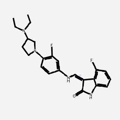 CCN(CC)C1CCN(c2ccc(N/C=C3\C(=O)Nc4cccc(F)c43)cc2F)C1